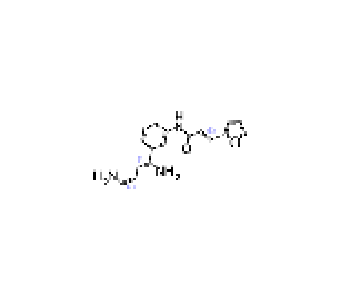 N/C=C\C=C(/N)c1cccc(NC(=O)/C=C/c2ccco2)c1